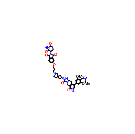 COc1cc(-c2cn(C)c(=O)c3c2CCN(C(=O)NC2CC4(CCN(CCCOc5ccc6c(c5)C(=O)N(C5CCC(=O)NC5=O)C6=O)C4)C2)C3)cc(OC)c1CN(C)C